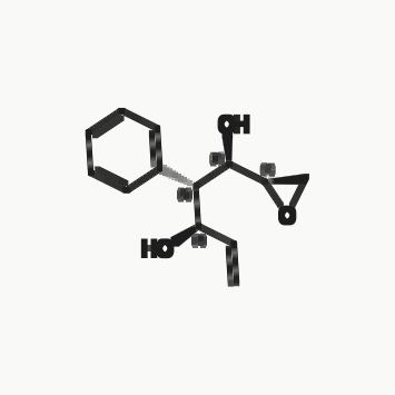 C=C[C@@H](O)[C@H](c1ccccc1)[C@@H](O)[C@H]1CO1